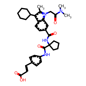 Cc1c(C2CCCCC2)c2ccc(C(=O)NC3(C(=O)Nc4ccc(C=CC(=O)O)cc4)CCCC3)cc2n1CC(=O)N(C)C